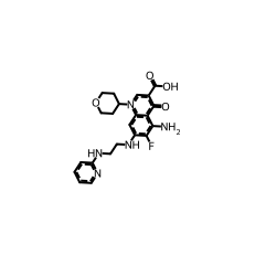 Nc1c(F)c(NCCNc2ccccn2)cc2c1c(=O)c(C(=O)O)cn2C1CCOCC1